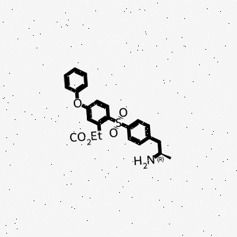 CCOC(=O)c1cc(Oc2ccccc2)ccc1S(=O)(=O)c1ccc(C[C@@H](C)N)cc1